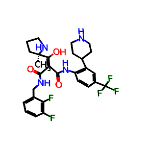 C[C@]1(/C(O)=C(\C(=O)NCc2cccc(F)c2F)C(=O)Nc2ccc(C(F)(F)F)cc2C2CCNCC2)CCCN1